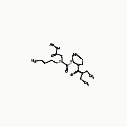 CCCCC[C@H](CC(=O)NO)C(=O)[C@@H]1CNCCN1C(=O)N(CC)CC